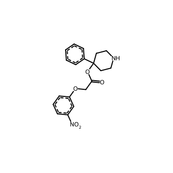 O=C(COc1cccc([N+](=O)[O-])c1)OC1(c2ccccc2)CCNCC1